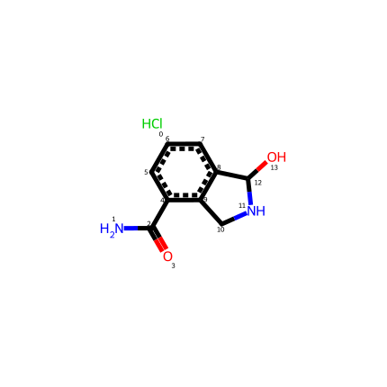 Cl.NC(=O)c1cccc2c1CNC2O